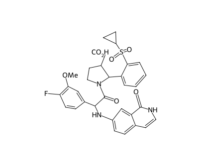 COc1cc(C(Nc2ccc3cc[nH]c(=O)c3c2)C(=O)N2CCC(C(=O)O)C2c2ccccc2S(=O)(=O)C2CC2)ccc1F